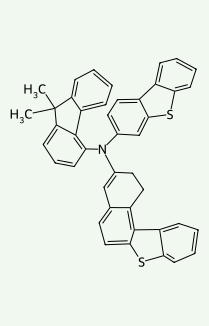 CC1(C)c2ccccc2-c2c(N(C3=Cc4ccc5sc6ccccc6c5c4CC3)c3ccc4c(c3)sc3ccccc34)cccc21